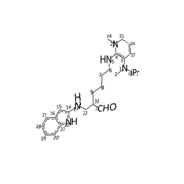 CC(C)N(C)C1=C(NCCCCC(C=O)CNc2cc3ccccc3[nH]2)N(C)CC=C1